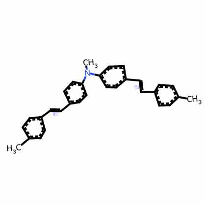 Cc1ccc(/C=C/c2ccc(N(C)c3ccc(/C=C/c4ccc(C)cc4)cc3)cc2)cc1